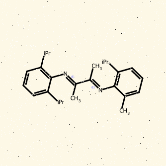 CC(=N\c1c(C)cccc1C(C)C)/C(C)=N/c1c(C(C)C)cccc1C(C)C